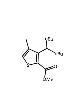 CCCCC(CCCC)c1c(C)csc1C(=O)OC